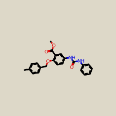 COC(=O)c1cc(NC(=O)Nc2ccccc2)ccc1OCc1ccc(C)cc1